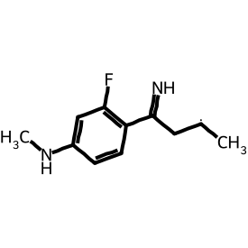 C[CH]CC(=N)c1ccc(NC)cc1F